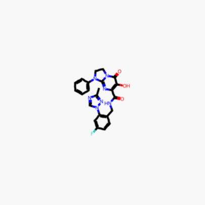 Cc1ncn(-c2cc(F)ccc2CNC(=O)c2nc3n(c(=O)c2O)CCN3c2ccccc2)n1